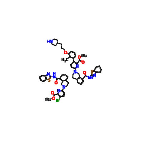 CC(C)(C)OC(=O)c1nc(N2CCc3cccc(C(=O)Nc4nc5ccccc5s4)c3C2)ccc1Br.Cc1c(OCCCC2CCNCC2)cccc1-c1ccc(N2CCc3cccc(C(=O)Nc4nc5ccccc5s4)c3C2)nc1C(=O)OC(C)(C)C